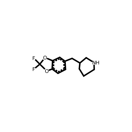 FC1(F)Oc2ccc(CC3CCCNC3)cc2O1